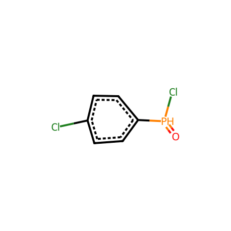 O=[PH](Cl)c1ccc(Cl)cc1